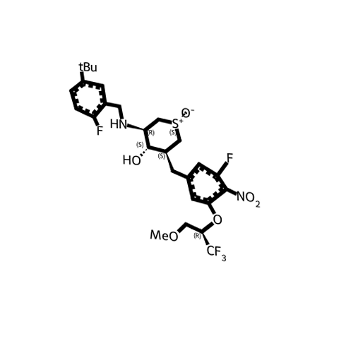 COC[C@@H](Oc1cc(C[C@@H]2C[S@@+]([O-])C[C@H](NCc3cc(C(C)(C)C)ccc3F)[C@H]2O)cc(F)c1[N+](=O)[O-])C(F)(F)F